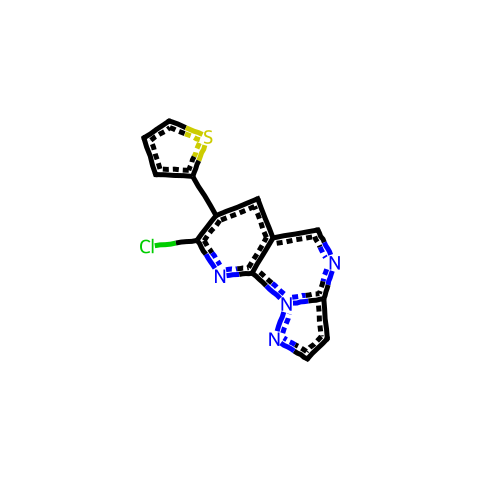 Clc1nc2c(cnc3ccnn32)cc1-c1cccs1